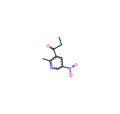 CCC(=O)c1cc([N+](=O)[O-])cnc1C